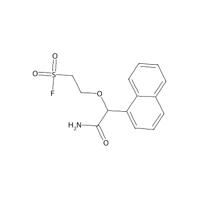 NC(=O)C(OCCS(=O)(=O)F)c1cccc2ccccc12